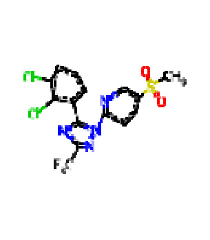 CS(=O)(=O)c1ccc(-n2nc(C(F)(F)F)nc2-c2cccc(Cl)c2Cl)nc1